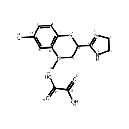 CN1CC(C2=NCCN2)Sc2ccc(Cl)cc21.O=C(O)C(=O)O